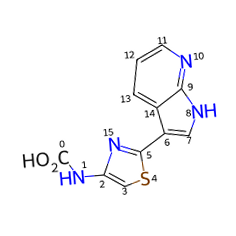 O=C(O)Nc1csc(-c2c[nH]c3ncccc23)n1